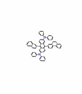 c1ccc(N(c2ccccc2)c2ccc3c(-c4ccc5c(ccc6ccccc65)c4)c4cc(N(c5ccccc5)c5ccccc5)ccc4c(-c4ccc5ccccc5c4)c3c2)cc1